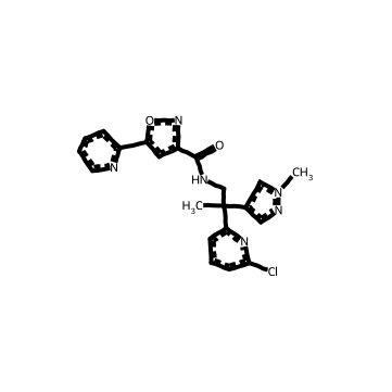 Cn1cc(C(C)(CNC(=O)c2cc(-c3ccccn3)on2)c2cccc(Cl)n2)cn1